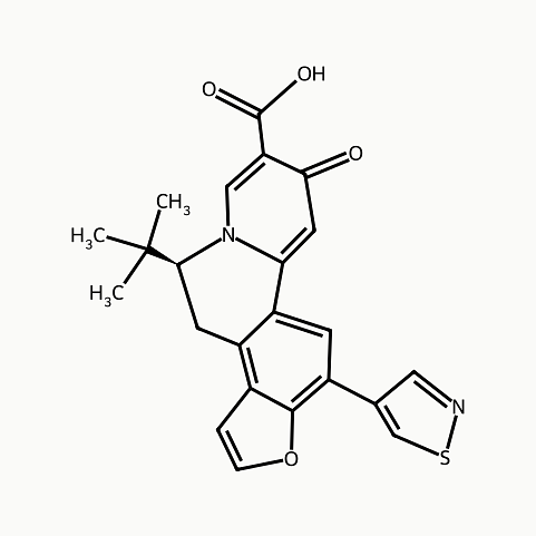 CC(C)(C)[C@@H]1Cc2c(cc(-c3cnsc3)c3occc23)-c2cc(=O)c(C(=O)O)cn21